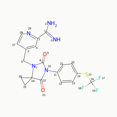 N=C(N)c1cc(CN2C(=O)N(c3ccc(SC(F)(F)F)cc3)C(=O)C23CC3)ccn1